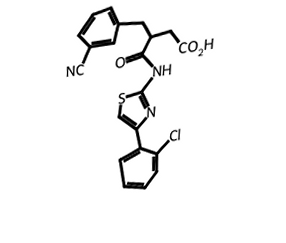 N#Cc1cccc(CC(CC(=O)O)C(=O)Nc2nc(-c3ccccc3Cl)cs2)c1